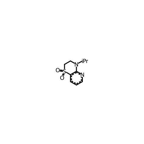 CC(C)N1CCS(=O)(=O)c2cccnc21